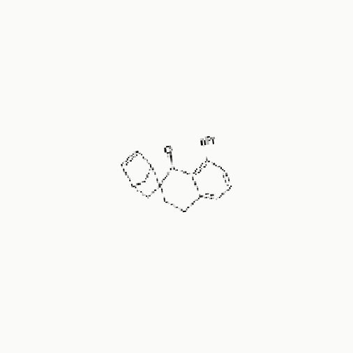 CCCc1cccc2c1C(=O)C1(CC2)CC2C=CC1C2